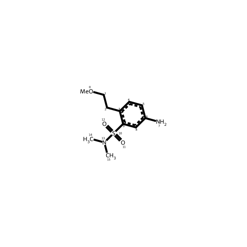 COCCc1ccc(N)cc1S(=O)(=O)N(C)C